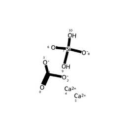 O=C([O-])[O-].[Ca+2].[Ca+2].[O-][Si]([O-])(O)O